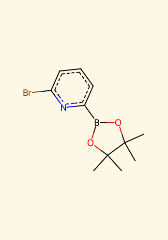 CC1(C)OB(c2cccc(Br)n2)OC1(C)C